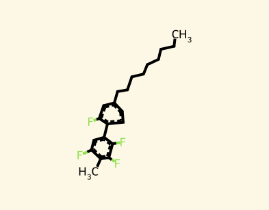 CCCCCCCCCc1ccc(-c2cc(F)c(C)c(F)c2F)c(F)c1